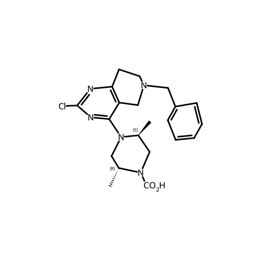 C[C@@H]1CN(c2nc(Cl)nc3c2CN(Cc2ccccc2)CC3)[C@@H](C)CN1C(=O)O